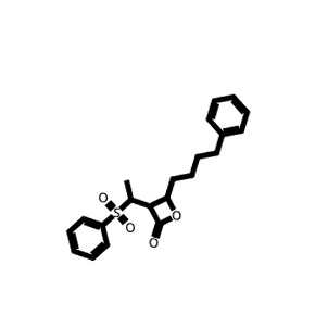 CC(C1C(=O)OC1CCCCc1ccccc1)S(=O)(=O)c1ccccc1